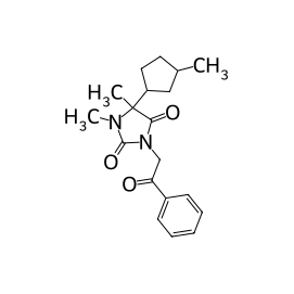 CC1CCC(C2(C)C(=O)N(CC(=O)c3ccccc3)C(=O)N2C)C1